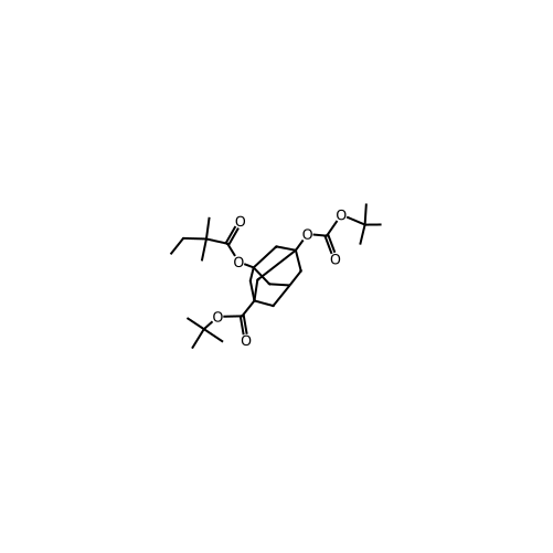 CCC(C)(C)C(=O)OC12CC3CC(OC(=O)OC(C)(C)C)(C1)CC(C(=O)OC(C)(C)C)(C3)C2